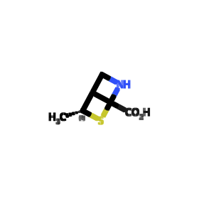 C[C@H]1SC2(C(=O)O)NCC12